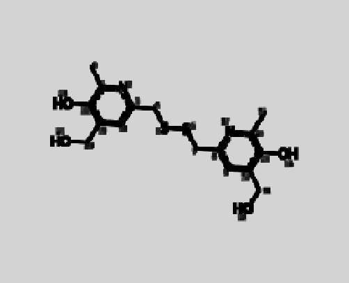 Cc1nc(CSSCc2cc(CO)c(O)c(C)n2)cc(CO)c1O